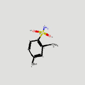 COc1cc(C(C)(C)C)ccc1S(N)(=O)=O